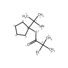 CCCC(C)(C)C1(OC(=O)C(C)(C)CC)CCCC1